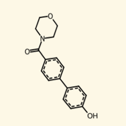 O=C(c1ccc(-c2ccc(O)cc2)cc1)N1CCOCC1